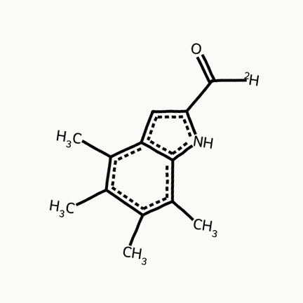 [2H]C(=O)c1cc2c(C)c(C)c(C)c(C)c2[nH]1